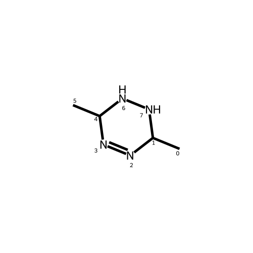 CC1N=NC(C)NN1